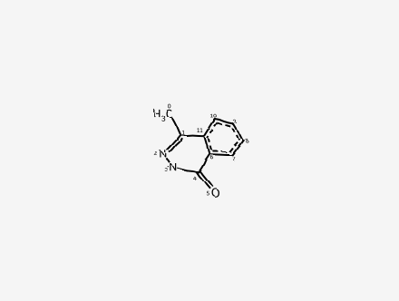 CC1=N[N]C(=O)c2ccccc21